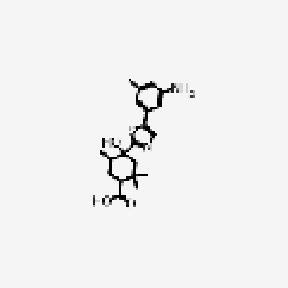 Cc1cc(N)cc(-c2cnc(C3(O)CC(C)(C)C(C(=O)O)CC3C)s2)c1